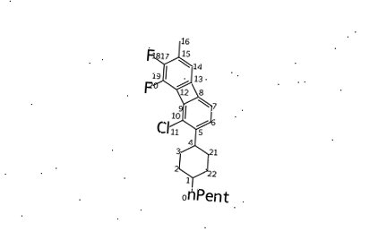 CCCCCC1CCC(c2ccc3c(c2Cl)-c2c-3cc(C)c(F)c2F)CC1